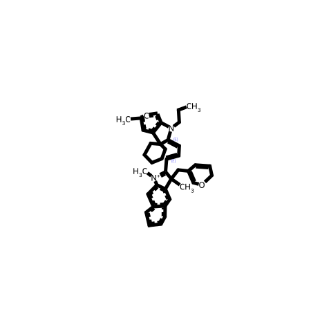 CCCN1/C(=C/C=C/C2=[N+](C)c3cc4ccccc4cc3C2(C)CC2=COCC=C2)C2(CCCCC2)c2cc(C)ccc21